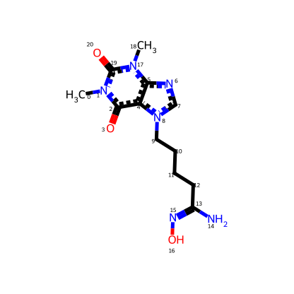 Cn1c(=O)c2c(ncn2CCCCC(N)=NO)n(C)c1=O